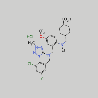 CCN(C[C@H]1CC[C@H](C(=O)O)CC1)c1ccc(OC(F)(F)F)cc1CN(Cc1cc(Cl)cc(Cl)c1)c1nnn(C)n1.Cl